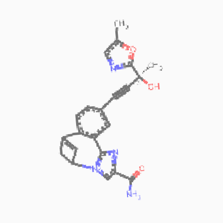 Cc1cnc([C@@](C)(O)C#Cc2ccc3c(c2)-c2nc(C(N)=O)cn2C2C=C3C2)o1